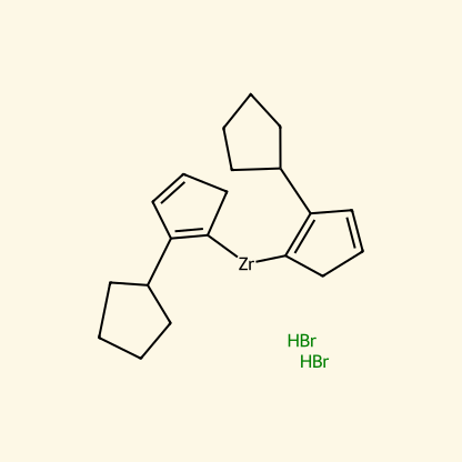 Br.Br.C1=CC(C2CCCC2)=[C]([Zr][C]2=C(C3CCCC3)C=CC2)C1